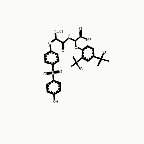 CCCCCCCCC(Oc1ccc(S(=O)(=O)c2ccc(O)cc2)cc1)C(=O)NC(Oc1ccc(C(C)(C)CC)cc1C(C)(C)CC)C([NH])=O